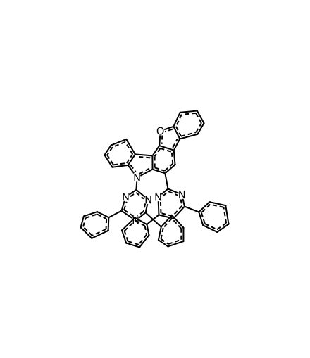 c1ccc(-c2cc(-c3ccccc3)nc(-c3cc4c5ccccc5oc4c4c5ccccc5n(-c5nc(-c6ccccc6)nc(-c6ccccc6)n5)c34)n2)cc1